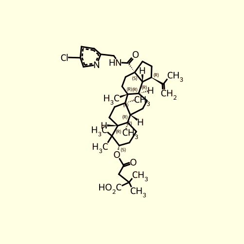 C=C(C)[C@@H]1CC[C@]2(C(=O)NCc3ccc(Cl)cn3)CC[C@]3(C)[C@H](CC[C@@H]4[C@@]5(C)CC[C@H](OC(=O)CC(C)(C)C(=O)O)C(C)(C)[C@@H]5CC[C@]43C)[C@@H]12